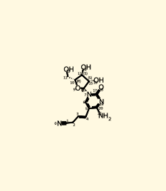 N#CCC=Cc1cn([C@@H]2O[C@H](CO)[C@@H](O)[C@@H]2O)c(=O)nc1N